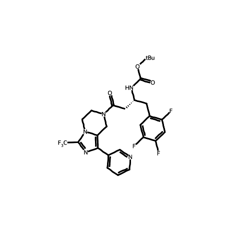 CC(C)(C)OC(=O)N[C@@H](CC(=O)N1CCn2c(C(F)(F)F)nc(-c3cccnc3)c2C1)Cc1cc(F)c(F)cc1F